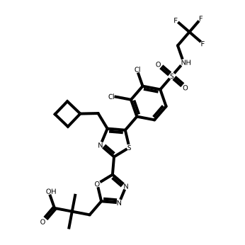 CC(C)(Cc1nnc(-c2nc(CC3CCC3)c(-c3ccc(S(=O)(=O)NCC(F)(F)F)c(Cl)c3Cl)s2)o1)C(=O)O